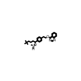 C[SiH](C)OC(CCCC(C)(C)C)c1ccc(CCOc2ncnc3ccccc23)cc1